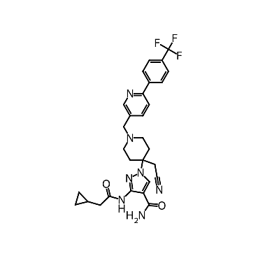 N#CCC1(n2cc(C(N)=O)c(NC(=O)CC3CC3)n2)CCN(Cc2ccc(-c3ccc(C(F)(F)F)cc3)nc2)CC1